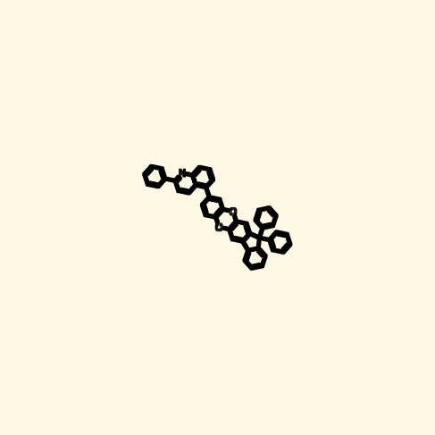 c1ccc(-c2ccc3c(-c4ccc5c(c4)Oc4cc6c(cc4O5)-c4ccccc4C6(c4ccccc4)c4ccccc4)cccc3n2)cc1